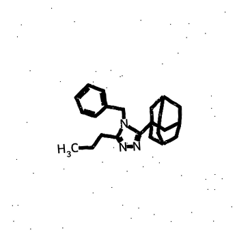 CCCc1nnc(C23CC4CC(CC(C4)C2)C3)n1Cc1ccccc1